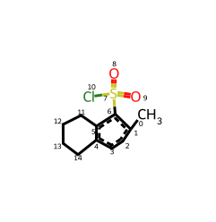 Cc1ccc2c(c1S(=O)(=O)Cl)CCCC2